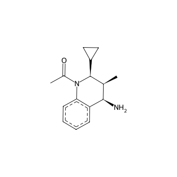 CC(=O)N1c2ccccc2[C@H](N)[C@H](C)[C@@H]1C1CC1